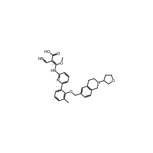 CO/C(Nc1cccc(-c2cccc(C)c2OCc2ccc3c(c2)CCN(C2CCOC2)C3)n1)=C(/C=N)C(=O)O